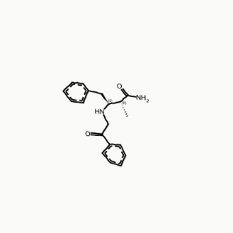 C[C@@H](C(N)=O)[C@H](Cc1ccccc1)NCC(=O)c1ccccc1